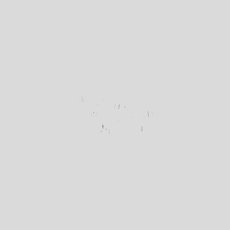 CC(C)(C)[S+]([O-])N[C@H](C#N)COC(C)(C)C(F)(F)F